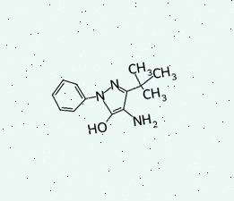 CC(C)(C)c1nn(-c2ccccc2)c(O)c1N